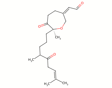 CC(C)=CCC(=O)C(C)CCC[C@]1(C)OCC(=CC=O)CCC1=O